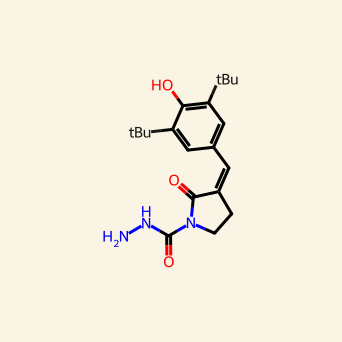 CC(C)(C)c1cc(C=C2CCN(C(=O)NN)C2=O)cc(C(C)(C)C)c1O